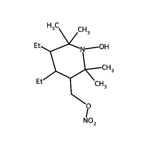 CCC1C(CC)C(C)(C)N(O)C(C)(C)C1CO[N+](=O)[O-]